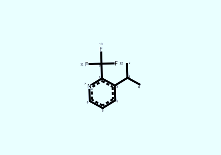 CC(C)c1cccnc1C(F)(F)F